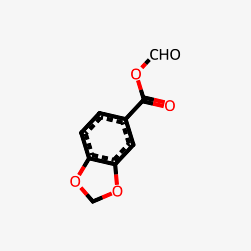 O=COC(=O)c1ccc2c(c1)OCO2